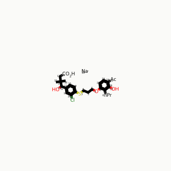 CCCc1c(OCCCSc2ccc(C(O)C(C)(C)CC(=O)O)cc2Cl)ccc(C(C)=O)c1O.[Na]